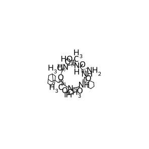 CC(C)C[C@H]1C(=O)N[C@@H](C2CCCCC2)C(=O)N[C@@H](CN)C(=O)N[C@@H]([C@H](C)O)C(=O)N[C@H](C)CO[C@H](CC23CC4CC(CC(C4)C2)C3)[C@@H](C)C(=O)N1C